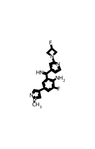 Cn1cc(-c2cc(F)c(N)c(C(=N)c3ccnc(N4CC(F)C4)c3)c2)cn1